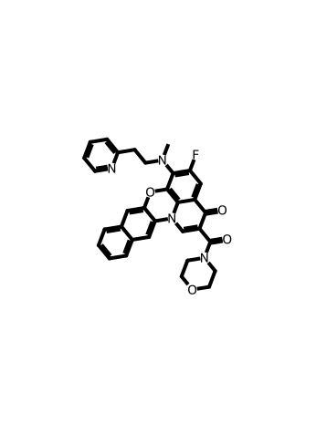 CN(CCc1ccccn1)c1c(F)cc2c(=O)c(C(=O)N3CCOCC3)cn3c2c1Oc1cc2ccccc2cc1-3